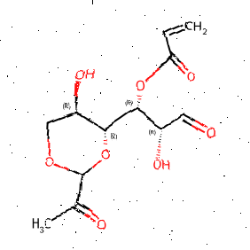 C=CC(=O)O[C@@H]([C@@H]1OC(C(C)=O)OC[C@H]1O)[C@@H](O)C=O